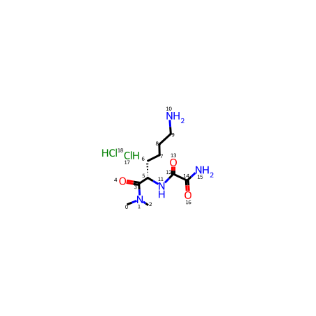 CN(C)C(=O)[C@H](CCCCN)NC(=O)C(N)=O.Cl.Cl